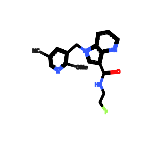 COc1ncc(C#N)cc1Cn1cc(C(=O)NCCF)c2ncccc21